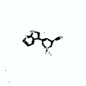 CN1CC(c2c[nH]c3ncccc23)=CC(C#N)C1